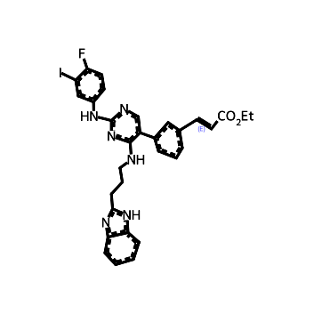 CCOC(=O)/C=C/c1cccc(-c2cnc(Nc3ccc(F)c(I)c3)nc2NCCCc2nc3ccccc3[nH]2)c1